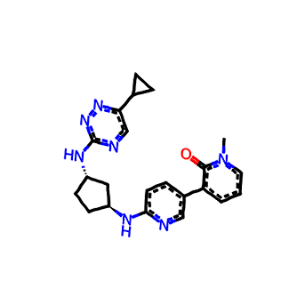 Cn1cccc(-c2ccc(N[C@H]3CC[C@H](Nc4ncc(C5CC5)nn4)C3)nc2)c1=O